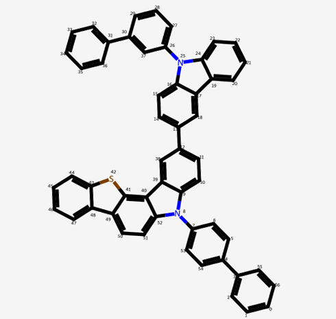 c1ccc(-c2ccc(-n3c4ccc(-c5ccc6c(c5)c5ccccc5n6-c5cccc(-c6ccccc6)c5)cc4c4c5sc6ccccc6c5ccc43)cc2)cc1